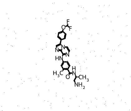 Cc1cc(Nc2nccn3c(-c4ccc(OC(F)F)cc4)cnc23)ccc1C(=O)N[C@@H](C)CN